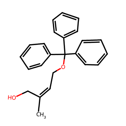 C/C(=C/COC(c1ccccc1)(c1ccccc1)c1ccccc1)CO